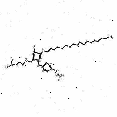 CCCCCCCCCCCCCCCCCCOc1cn(Cc2ccc(OC)cc2)c(COCCCN(C)C)cc1=O.Cl.Cl